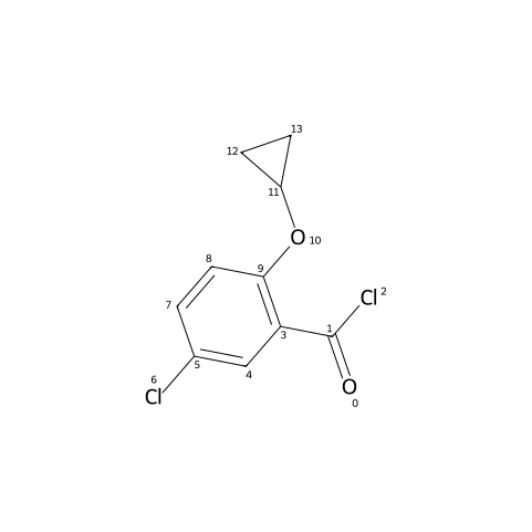 O=C(Cl)c1cc(Cl)ccc1OC1CC1